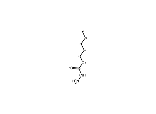 CCCCCOC(=O)NN